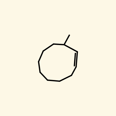 CC1C=CCCCCCCC1